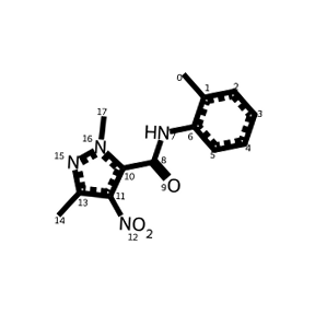 Cc1ccccc1NC(=O)c1c([N+](=O)[O-])c(C)nn1C